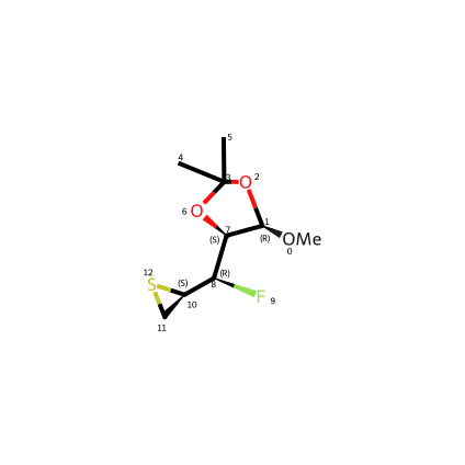 CO[C@@H]1OC(C)(C)O[C@@H]1[C@@H](F)[C@H]1CS1